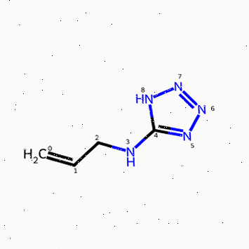 C=CCNc1nnn[nH]1